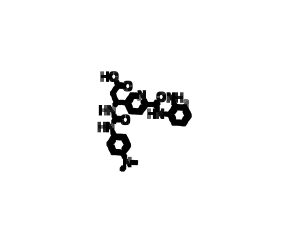 CN(C)c1ccc(NC(=O)NC(CC(=O)O)c2ccc(C(=O)Nc3ccccc3N)nc2)cc1